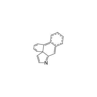 C1=CC2=c3ccccc3=CC3=NC=CC32C=C1